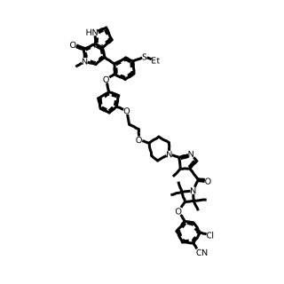 CCSc1ccc(Oc2cccc(OCCOC3CCN(C4=NC=C(C(=O)N5C(C)(C)C(Oc6ccc(C#N)c(Cl)c6)C5(C)C)C4C)CC3)c2)c(-c2cn(C)c(=O)c3[nH]ccc23)c1